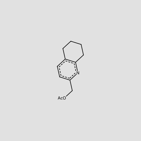 CC(=O)OCc1ccc2c(n1)CCCC2